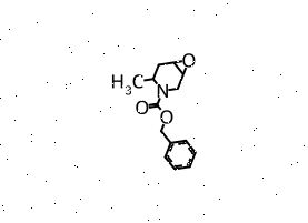 CC1CC2OC2CN1C(=O)OCc1ccccc1